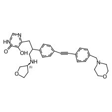 O=c1[nH]cnc(CC(CN[C@H]2CCOC2)c2ccc(C#Cc3ccc(CN4CCOCC4)cc3)cc2)c1O